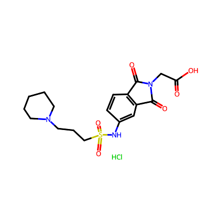 Cl.O=C(O)CN1C(=O)c2ccc(NS(=O)(=O)CCCN3CCCCC3)cc2C1=O